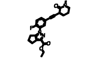 CCOC(=O)c1nn(-c2cc(C#CC3CCCN(C)C3=O)ccc2F)c2c1CCC2